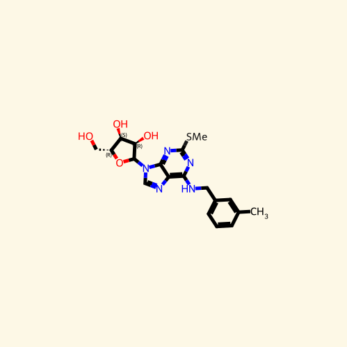 CSc1nc(NCc2cccc(C)c2)c2ncn(C3O[C@H](CO)[C@@H](O)[C@H]3O)c2n1